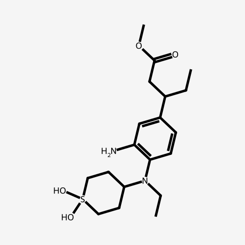 CCC(CC(=O)OC)c1ccc(N(CC)C2CCS(O)(O)CC2)c(N)c1